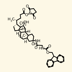 C[C@H](CCC(=O)ON1C(=O)CCC1=O)[C@H]1CC[C@H]2[C@@H]3CC[C@@H]4C[C@@](O)(NC(=O)CNC(=O)OCC5c6ccccc6-c6ccccc65)CC[C@]4(C)[C@H]3C[C@H](O)[C@]12C